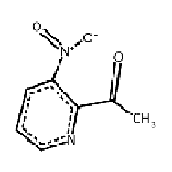 CC(=O)c1ncccc1[N+](=O)[O-]